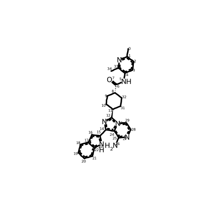 Cc1ccc(NC(=O)[C@H]2CC[C@H](c3nc(-c4cc5ccccc5[nH]4)c4c(N)nccn43)CC2)c(C)n1